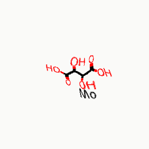 O=C(O)C(O)C(O)C(=O)O.[Mo]